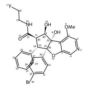 COc1cncc2c1[C@]1(O)[C@H](O)[C@H](C(=O)NCCF)[C@@H](c3ccccc3)[C@]1(c1ccc(Br)cc1)O2